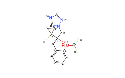 OC(Cc1ccccc1OC(F)F)(Cn1cncn1)C1(F)CC1